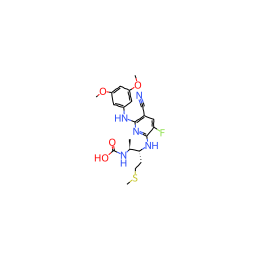 COc1cc(Nc2nc(N[C@H](CCSC)[C@H](C)NC(=O)O)c(F)cc2C#N)cc(OC)c1